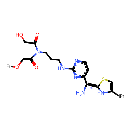 CCOCC(=O)N(CCCNc1nccc(/C(N)=C2/NC(C(C)C)=CS2)n1)C(=O)CO